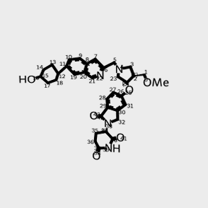 COC[C@@H]1CN(Cc2cc3ccc(C4CCC(O)CC4)cc3cn2)C[C@H]1Oc1ccc2c(c1)CN([C@H]1CCC(=O)NC1=O)C2=O